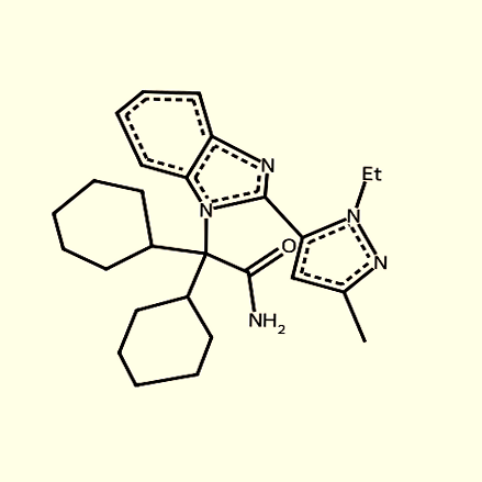 CCn1nc(C)cc1-c1nc2ccccc2n1C(C(N)=O)(C1CCCCC1)C1CCCCC1